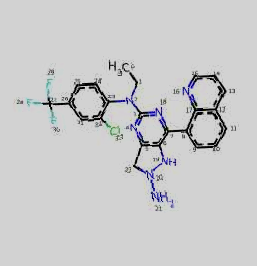 CCN(c1nc2c(c(-c3cccc4cccnc34)n1)NN(N)C2)c1ccc(C(F)(F)F)cc1Cl